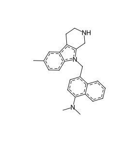 Cc1ccc2c(c1)c1c(n2Cc2ccc(N(C)C)c3ccccc23)CNCC1